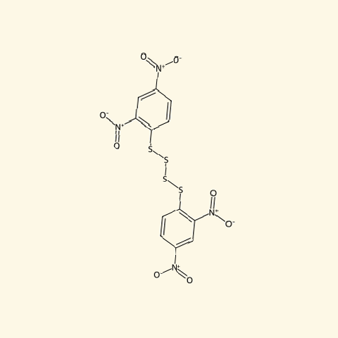 O=[N+]([O-])c1ccc(SSSSc2ccc([N+](=O)[O-])cc2[N+](=O)[O-])c([N+](=O)[O-])c1